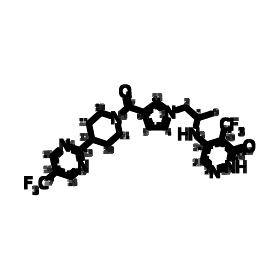 CC(Cn1ccc(C(=O)N2CCC(c3ncc(C(F)(F)F)cn3)CC2)c1)Nc1cn[nH]c(=O)c1C(F)(F)F